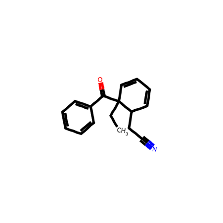 CCC1(C(=O)c2ccccc2)C=CC=CC1CC#N